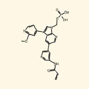 C=CC(=O)Nc1cncc(-c2cnc3c(c2)c(-c2ccnc(OC)c2)cn3COP(=O)(O)O)c1